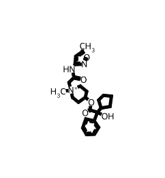 Cc1cc(NC(=O)C[N+]2(C)CCC(OC(=O)C(O)(c3ccccc3)C3CCCC3)CC2)no1